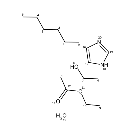 CCCCCC.CCO.CCOC(C)=O.O.c1c[nH]cn1